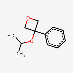 CC(C)OC1(c2c[c]ccc2)COC1